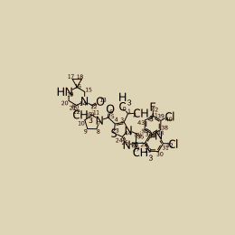 CC(C)C1=C(C(=O)N2CCC[C@@H]2C(=O)N2CC3(CC3)NC[C@H]2C)SC2=N[C@@](C)(c3ccc(Cl)nc3)[C@@H](c3ccc(Cl)c(F)c3)N21